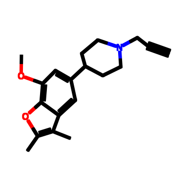 C#CCN1CCC(c2cc(OC)c3oc(C)c(C)c3c2)CC1